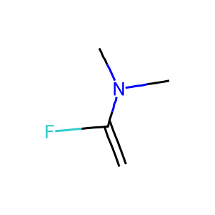 C=C(F)N(C)C